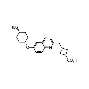 CC(C)(C)[C@H]1CC[C@H](Oc2ccc3nc(CN4CC(C(=O)O)C4)ccc3c2)CC1